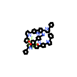 N#Cc1cc(-n2c3cc(-c4cccc(-c5ccccc5)n4)ccc3c3ccc(-c4cccc(-c5ccccc5)n4)cc32)c(-c2c(F)c(F)c(F)c(F)c2F)cc1-n1c2cc(-c3cccc(-c4ccccc4)n3)ccc2c2ccc(-c3cccc(-c4ccccc4)n3)cc21